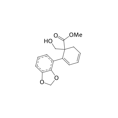 COC(=O)C1(CO)CC=CC=C1c1cccc2c1OCO2